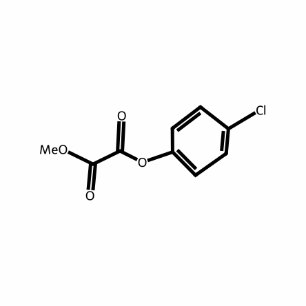 COC(=O)C(=O)Oc1ccc(Cl)cc1